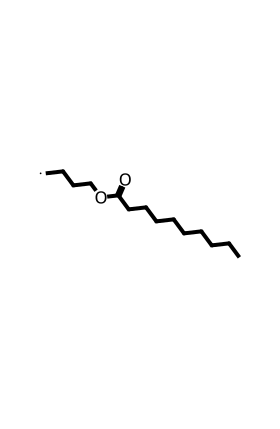 [CH2]CCCOC(=O)CCCCCCCCC